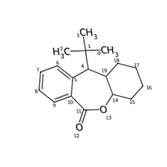 CC(C)(C)C1c2ccccc2C(=O)OC2CCCCC21